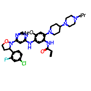 C=CC(=O)Nc1cc(Nc2cc(N3OCCC3c3ccc(Cl)cc3F)ncn2)c(OC)cc1N1CCC(N2CCN(C(C)C)CC2)CC1